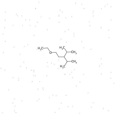 CCOCCC([C](C)C)C(C)C